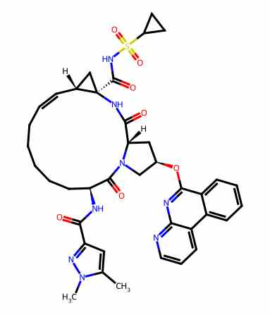 Cc1cc(C(=O)N[C@H]2CCCCC/C=C\[C@@H]3C[C@@]3(C(=O)NS(=O)(=O)C3CC3)NC(=O)[C@@H]3C[C@@H](Oc4nc5ncccc5c5ccccc45)CN3C2=O)nn1C